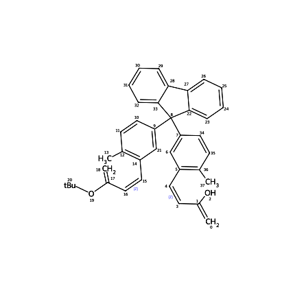 C=C(O)/C=C\c1cc(C2(c3ccc(C)c(/C=C\C(=C)OC(C)(C)C)c3)c3ccccc3-c3ccccc32)ccc1C